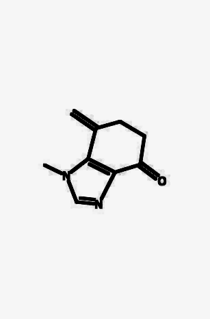 C=C1CCC(=O)c2ncn(C)c21